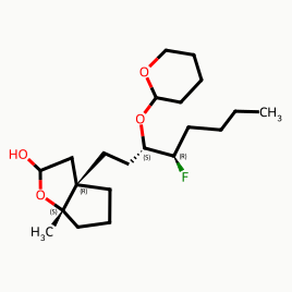 CCCC[C@@H](F)[C@H](CC[C@@]12CCC[C@]1(C)OC(O)C2)OC1CCCCO1